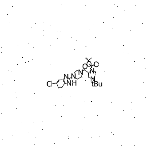 C=C(C)OC(=O)N1CCN(C(C)(C)C)CC1C(=O)N1CCN(c2nc3cc(Cl)ccc3[nH]2)CC1